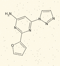 Nc1cc(-n2ccnn2)nc(-c2ccco2)n1